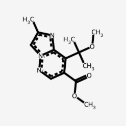 COC(=O)c1cnn2cc(C)nc2c1C(C)(C)OC